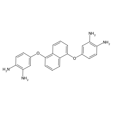 Nc1ccc(Oc2cccc3c(Oc4ccc(N)c(N)c4)cccc23)cc1N